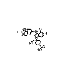 CN1Cc2cc(Nc3nn([C@@]4(CC#N)CCN(C(=O)O)C[C@H]4F)c4cc[nH]c(=O)c34)ccc2S1(O)O